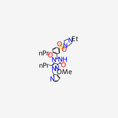 CCCOc1ccc(S(=O)(=O)N2CCN(CC)CC2)cc1-c1nc2c(CCC)n(Cc3ncccc3OC)nc2c(=O)[nH]1